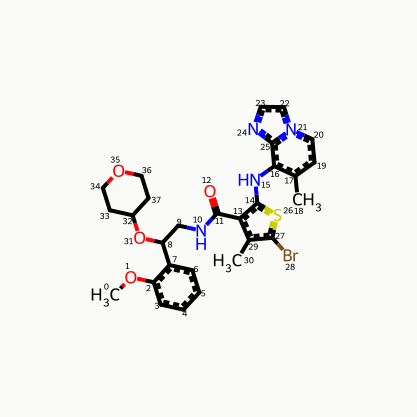 COc1ccccc1C(CNC(=O)c1c(Nc2c(C)ccn3ccnc23)sc(Br)c1C)OC1CCOCC1